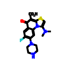 CN(C)c1csc2c(C(=O)O)c(=O)c3cc(F)c(N4CCNCC4)cc3n12